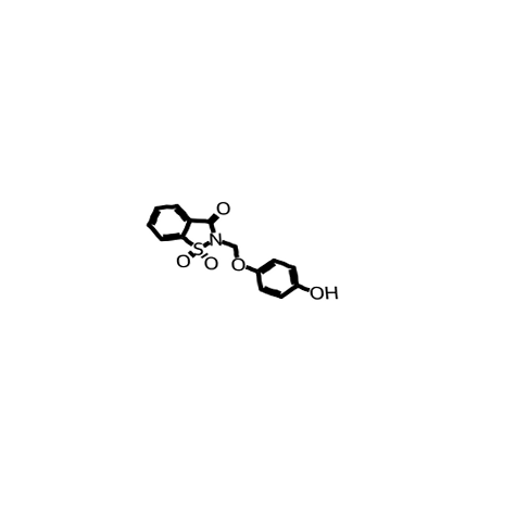 O=C1c2ccccc2S(=O)(=O)N1COc1ccc(O)cc1